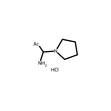 CC(=O)C(N)N1CCCC1.Cl